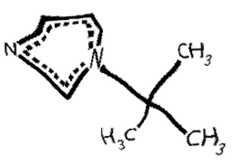 CC(C)(C)n1ccnc1